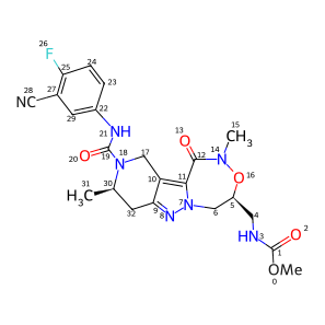 COC(=O)NC[C@H]1Cn2nc3c(c2C(=O)N(C)O1)CN(C(=O)Nc1ccc(F)c(C#N)c1)[C@H](C)C3